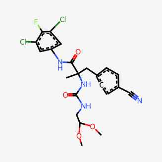 COC(CNC(=O)NC(C)(Cc1ccc(C#N)cc1)C(=O)Nc1cc(Cl)c(F)c(Cl)c1)OC